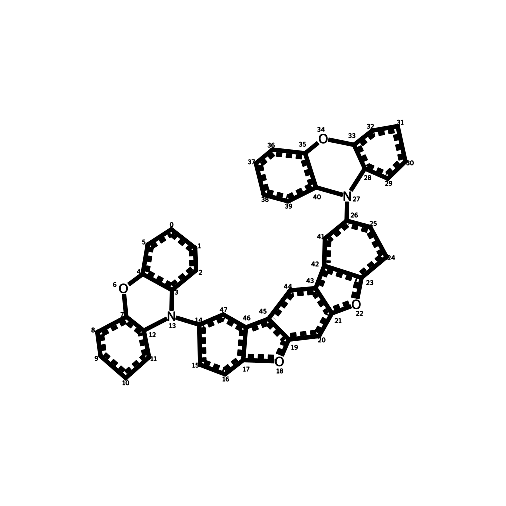 c1ccc2c(c1)Oc1ccccc1N2c1ccc2oc3cc4oc5ccc(N6c7ccccc7Oc7ccccc76)cc5c4cc3c2c1